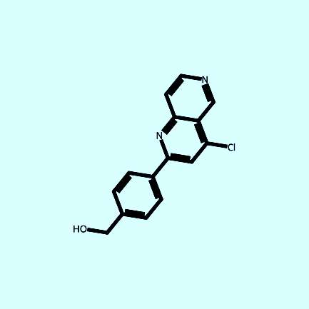 OCc1ccc(-c2cc(Cl)c3cnccc3n2)cc1